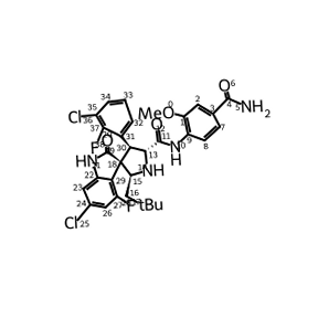 COc1cc(C(N)=O)ccc1NC(=O)[C@@H]1N[C@@H](CC(C)(C)C)[C@@]2(C(=O)Nc3cc(Cl)cc(F)c32)[C@H]1c1cccc(Cl)c1F